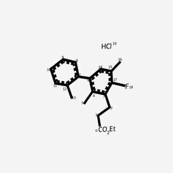 CCOC(=O)CCc1c(C)c(-c2ccccc2C)cc(C)c1F.Cl